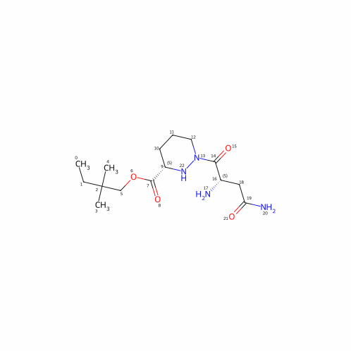 CCC(C)(C)COC(=O)[C@@H]1CCCN(C(=O)[C@@H](N)CC(N)=O)N1